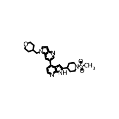 CS(=O)(=O)N1CCC(c2cc3c(-c4cnc5ccn(CC6CCOCC6)c5c4)ccnc3[nH]2)CC1